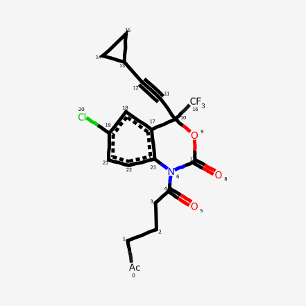 CC(=O)CCCC(=O)N1C(=O)OC(C#CC2CC2)(C(F)(F)F)c2cc(Cl)ccc21